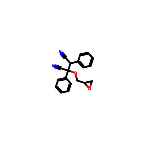 N#CC(c1ccccc1)C(C#N)(OCC1CO1)c1ccccc1